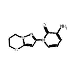 Nc1cccn(-c2cc3n(n2)CCCO3)c1=O